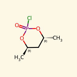 C[C@@H]1C[C@@H](C)OP(=O)(Cl)O1